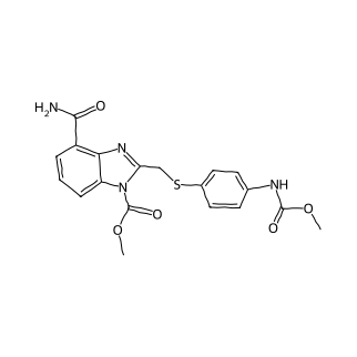 COC(=O)Nc1ccc(SCc2nc3c(C(N)=O)cccc3n2C(=O)OC)cc1